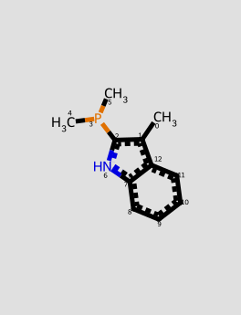 Cc1c(P(C)C)[nH]c2ccccc12